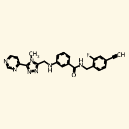 C#Cc1ccc(CNC(=O)c2cccc(NCc3nnc(-c4ccncn4)n3C)c2)c(F)c1